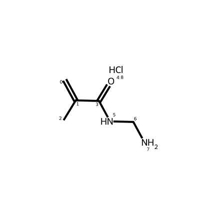 C=C(C)C(=O)NCN.Cl